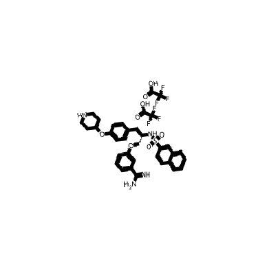 N=C(N)c1cccc(OC[C@H](Cc2ccc(OC3CCNCC3)cc2)NS(=O)(=O)c2ccc3ccccc3c2)c1.O=C(O)C(F)(F)F.O=C(O)C(F)(F)F